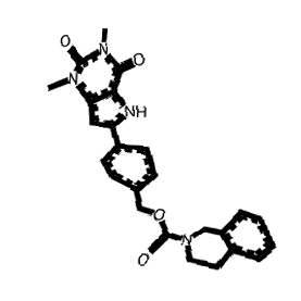 Cn1c(=O)c2[nH]c(-c3ccc(COC(=O)N4CCc5ccccc5C4)cc3)cc2n(C)c1=O